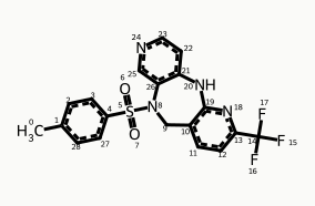 Cc1ccc(S(=O)(=O)N2Cc3ccc(C(F)(F)F)nc3Nc3ccncc32)cc1